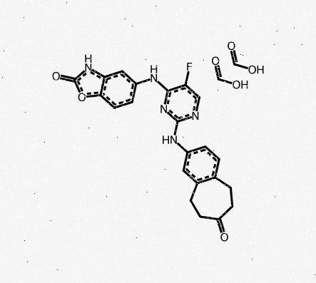 O=C1CCc2ccc(Nc3ncc(F)c(Nc4ccc5oc(=O)[nH]c5c4)n3)cc2CC1.O=CO.O=CO